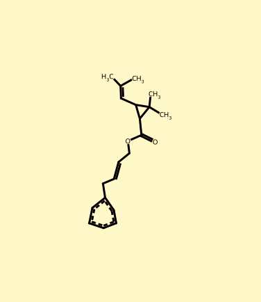 CC(C)=CC1C(C(=O)OC/C=C/Cc2ccccc2)C1(C)C